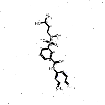 C=C/C=C\C(=C/C=C)NC(=O)c1cccc(S(=O)(=O)N(O)CCC(C)O)c1